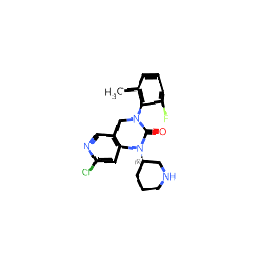 Cc1cccc(F)c1N1Cc2cnc(Cl)cc2N([C@H]2CCCNC2)C1=O